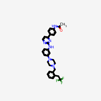 CC(=O)Nc1ccc(-c2ccnc(Nc3cccc(N4CCN(Cc5ccccc5CC(F)(F)F)CC4)c3)n2)cc1